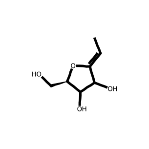 C/C=C1\O[C@H](CO)C(O)C1O